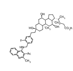 CC(=O)c1c(C)nc2ccccc2c1NCc1ccc(CC[C@@]2(O)CC[C@@]3(C)C(C[C@@H](O)C4C3C[C@H](O)[C@@]3(C)C4CC[C@@H]3C(C)CCC(=O)O)C2)cc1F